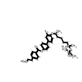 CCCCCCCCCCCCc1ccc(C(=O)Oc2ccc(-c3ccc(O[C@@H](C)CCCC[Si](C)(C)O[Si](C)(C)C)c(F)c3)cc2)cc1